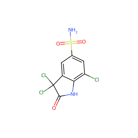 NS(=O)(=O)c1cc(Cl)c2c(c1)C(Cl)(Cl)C(=O)N2